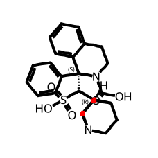 O=C(O)N1CCc2ccccc2[C@@]1(c1ccccc1)C([C@H]1CN2CCC1CC2)S(=O)(=O)O